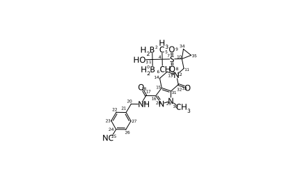 BC(B)(O)C(C)(C)S(=O)(=O)C1(CN2CCc3c(C(=O)NCc4ccc(C#N)cc4)nn(C)c3C2=O)CC1